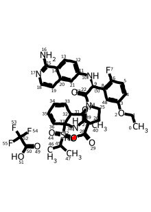 CCOc1ccc(F)c([C@H](Nc2ccc3c(N)nccc3c2)C(=O)N2CCC(C(=O)O)C2C2C=CC=CC2(NC(C)=O)S(=O)(=O)C(C)C)c1.O=C(O)C(F)(F)F